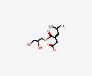 CC(C)C=C(CC(=O)O)C(=O)OCC(O)CO